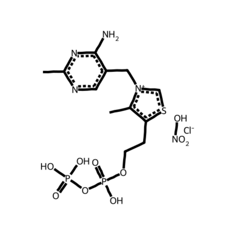 Cc1ncc(C[n+]2csc(CCOP(=O)(O)OP(=O)(O)O)c2C)c(N)n1.O=[N+]([O-])O.[Cl-]